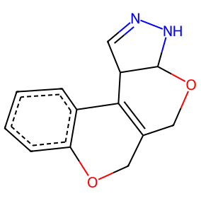 C1=NNC2OCC3=C(c4ccccc4OC3)C12